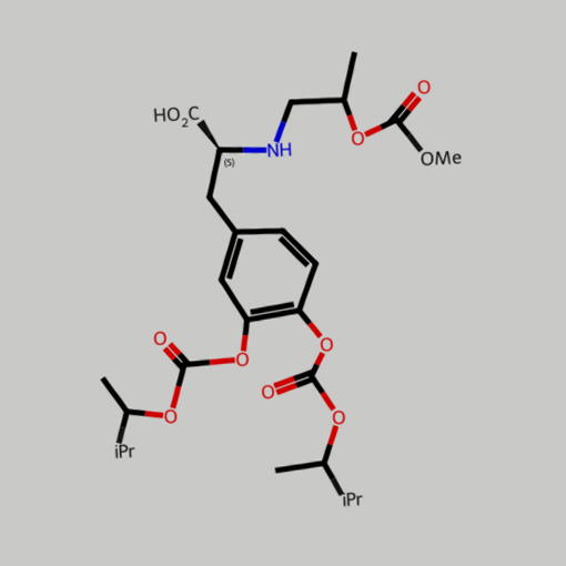 COC(=O)OC(C)CN[C@@H](Cc1ccc(OC(=O)OC(C)C(C)C)c(OC(=O)OC(C)C(C)C)c1)C(=O)O